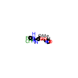 COc1cc2c(Nc3ccc(F)c(Cl)c3F)ncnc2cc1OC[C@H]1CN2CCOC[C@H]2CO1